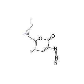 C=C/C=C\c1oc(=O)c(N=[N+]=[N-])cc1C